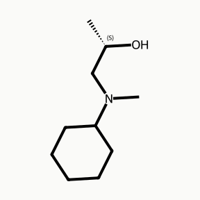 C[C@H](O)CN(C)C1CCCCC1